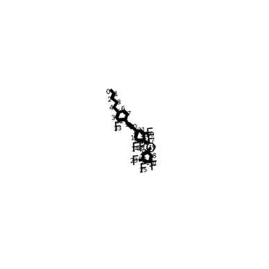 C/C=C/CCc1ccc(C#Cc2cc(F)c(C(F)(F)Oc3cc(F)c(F)c(F)c3)c(F)c2)c(F)c1